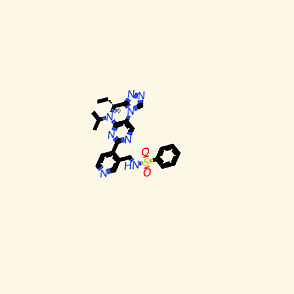 CC[C@@H]1c2nncn2-c2cnc(-c3ccncc3CNS(=O)(=O)c3ccccc3)nc2N1C(C)C